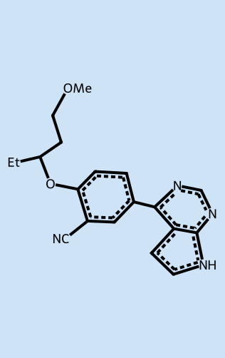 CCC(CCOC)Oc1ccc(-c2ncnc3[nH]ccc23)cc1C#N